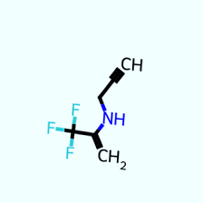 C#CCNC(=C)C(F)(F)F